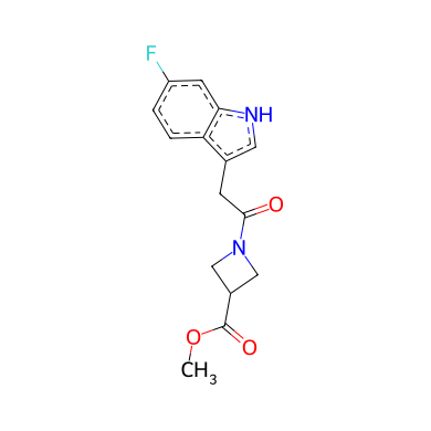 COC(=O)C1CN(C(=O)Cc2c[nH]c3cc(F)ccc23)C1